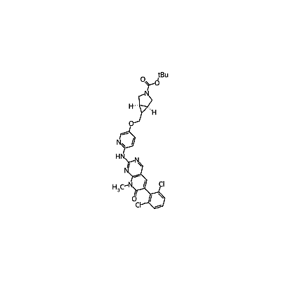 Cn1c(=O)c(-c2c(Cl)cccc2Cl)cc2cnc(Nc3ccc(OCC4[C@H]5CN(C(=O)OC(C)(C)C)C[C@@H]45)cn3)nc21